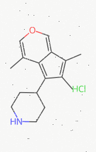 Cc1cocc2c(C)c(C)c(C3CCNCC3)c1-2.Cl